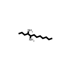 CCCCCCCC(N)C(N)CCC